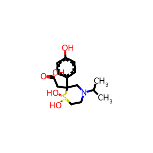 CC(C)N1CCS(O)(O)C(CC(=O)O)(c2ccc(O)cc2)C1